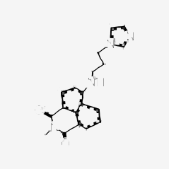 CN1C(=O)c2cccc3c(NCCCn4ccnc4)ccc(c23)C1=O